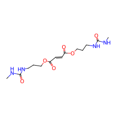 CNC(=O)NCCCOC(=O)/C=C/C(=O)OCCCNC(=O)NC